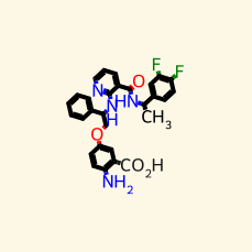 CC(NC(=O)c1cccnc1NC(COc1ccc(N)c(C(=O)O)c1)c1ccccc1)c1ccc(F)c(F)c1